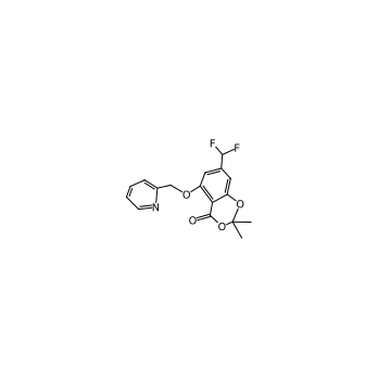 CC1(C)OC(=O)c2c(OCc3ccccn3)cc(C(F)F)cc2O1